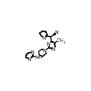 Cc1cnc(N2CCC(Nc3ncccn3)CC2)nc1C(C#N)c1ccccn1